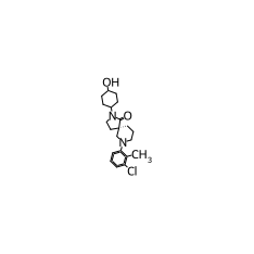 Cc1c(Cl)cccc1N1CCC[C@@]2(CCN(C3CCC(O)CC3)C2=O)C1